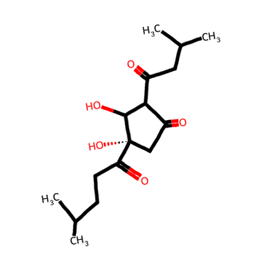 CC(C)CCC(=O)[C@]1(O)CC(=O)C(C(=O)CC(C)C)C1O